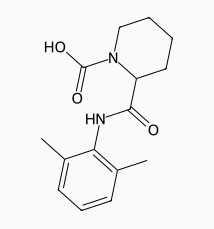 Cc1cccc(C)c1NC(=O)C1CCCCN1C(=O)O